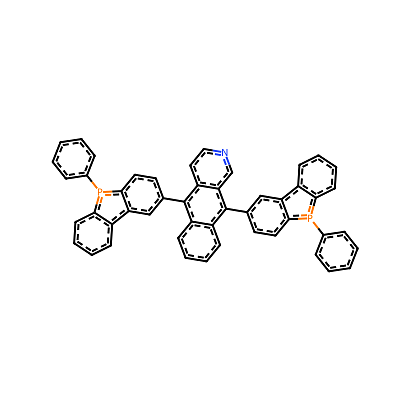 c1ccc(-p2c3ccccc3c3cc(-c4c5ccccc5c(-c5ccc6c(c5)c5ccccc5p6-c5ccccc5)c5cnccc45)ccc32)cc1